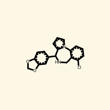 Clc1cccc2c1CNC(c1ccc3c(c1)OCO3)c1cccn1-2